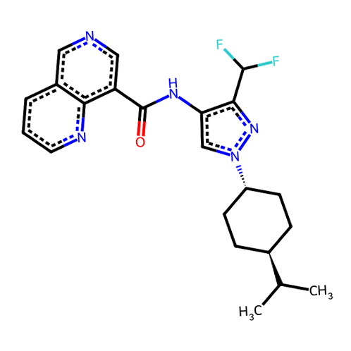 CC(C)[C@H]1CC[C@H](n2cc(NC(=O)c3cncc4cccnc34)c(C(F)F)n2)CC1